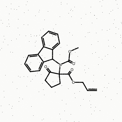 C=CCOC(=O)C1(N(C(=O)OC)C2c3ccccc3-c3ccccc32)CCCC1=O